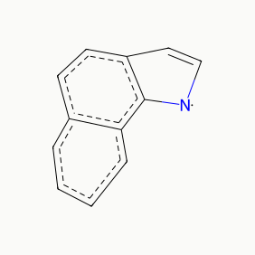 C1=Cc2ccc3ccccc3c2[N]1